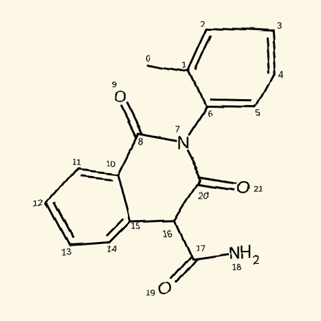 Cc1ccccc1N1C(=O)c2ccccc2C(C(N)=O)C1=O